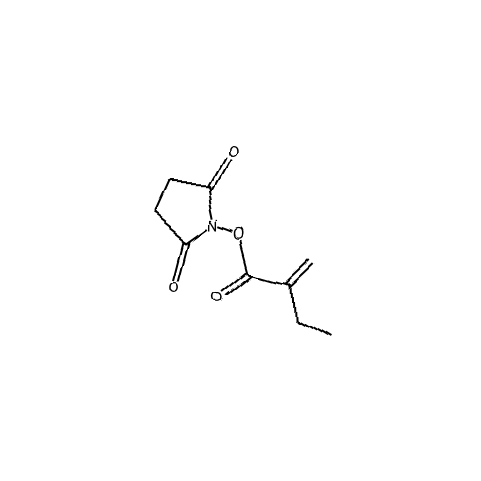 C=C(CC)C(=O)ON1C(=O)CCC1=O